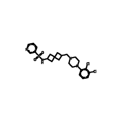 O=S(=O)(NC1CC2(CC(CN3CCN(c4cccc(Cl)c4Cl)CC3)C2)C1)c1cccnc1